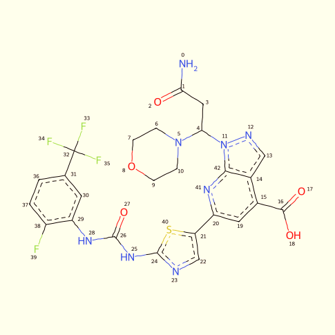 NC(=O)CC(N1CCOCC1)n1ncc2c(C(=O)O)cc(-c3cnc(NC(=O)Nc4cc(C(F)(F)F)ccc4F)s3)nc21